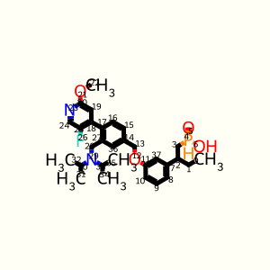 CCC(C[PH](=O)O)c1cccc(OCc2ccc(-c3cc(OC)ncc3F)c(CN(C(C)C)C(C)C)c2)c1